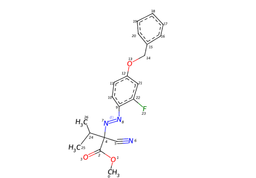 COC(=O)C(C#N)(/N=N/c1ccc(OCc2ccccc2)cc1F)C(C)C